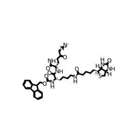 [N-]=[N+]=CC(=O)CC[C@H](NC(=O)[C@H](CCCCNC(=O)CCCC[C@@H]1SC[C@H]2NC(=O)N[C@@H]12)NC(=O)OCC1c2ccccc2-c2ccccc21)C(N)=O